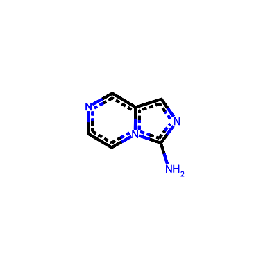 Nc1ncc2cnccn12